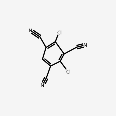 N#Cc1[c]c(C#N)c(Cl)c(C#N)c1Cl